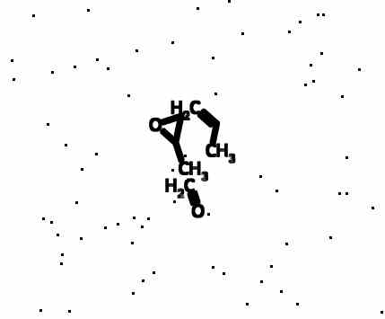 C=CC.C=O.CC1CO1